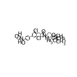 CC(C)(C)[Si](C)(C)OC1CCC(N2CC[C@@H](Cc3c(Cl)cc(-c4ccc(C(=O)N5C[C@@H]6C[C@H]5CO6)cc4)cc3Cl)C2=O)CC1